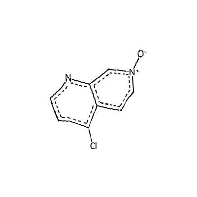 [O-][n+]1ccc2c(Cl)ccnc2c1